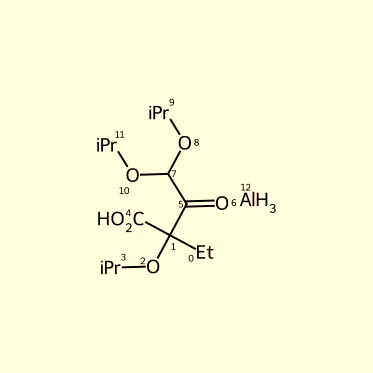 CCC(OC(C)C)(C(=O)O)C(=O)C(OC(C)C)OC(C)C.[AlH3]